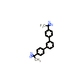 CC1(c2ccc(-c3cccc(-c4ccc(C5(C(F)(F)F)N=N5)cc4)c3)cc2)N=N1